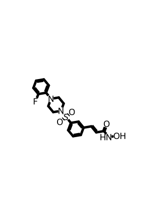 O=C(/C=C/c1cccc(S(=O)(=O)N2CCN(c3ccccc3F)CC2)c1)NO